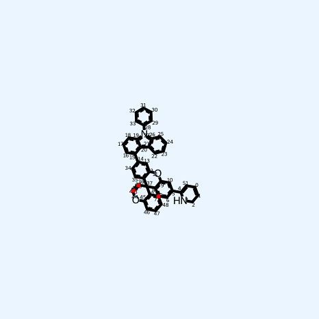 C1=CCNC(c2ccc3c(c2)Oc2cc(-c4cccc5c4c4ccccc4n5-c4ccccc4)ccc2C32c3ccccc3Oc3ccccc32)=C1